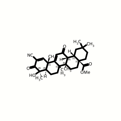 COC(=O)[C@]12CCC(C)(C)C[C@H]1[C@H]1C(=O)C=C3[C@@]4(C)C=C(C#N)C(=O)[C@](C)(O)[C@@H]4CC[C@@]3(C)[C@]1(C)CC2